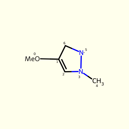 COC1=CN(C)[N]C1